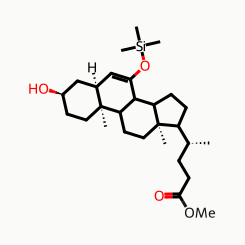 COC(=O)CC[C@@H](C)C1CCC2C3C(O[Si](C)(C)C)=C[C@@H]4C[C@H](O)CC[C@]4(C)C3CC[C@@]21C